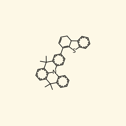 CC1(C)c2ccccc2N2c3ccc(C4=C5Sc6ccccc6C5CC=C4)cc3C(C)(C)c3cccc1c32